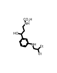 CCC(CC)CNc1cccc(C(O)CCNC(=O)O)c1